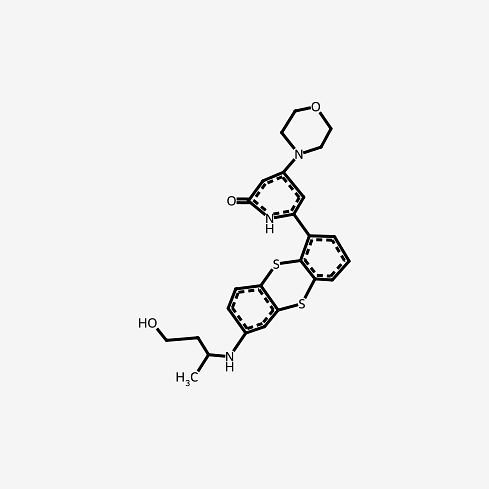 CC(CCO)Nc1ccc2c(c1)Sc1cccc(-c3cc(N4CCOCC4)cc(=O)[nH]3)c1S2